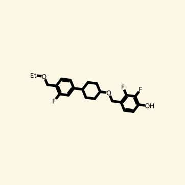 CCOCc1ccc(C2CCC(OCc3ccc(O)c(F)c3F)CC2)cc1F